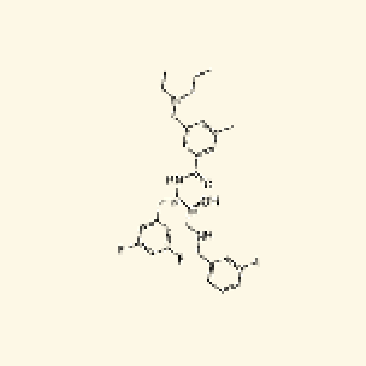 CCCN(CC)Cc1cc(C)cc(C(=O)N[C@@H](Cc2cc(F)cc(F)c2)[C@@H](O)CNCc2cccc(I)c2)c1